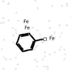 Clc1ccccc1.[Fe].[Fe].[Fe]